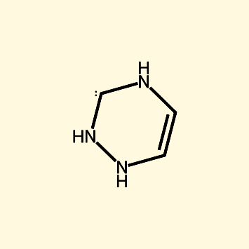 [C]1NC=CNN1